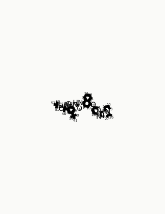 COc1c(NC(=O)N[C@H]2CC[C@@H](Oc3ccc4nnc([C@@H]5CCCN5C(C)C)n4c3)c3ccccc32)cc(C(C)(C)C)cc1C(C)(C)O[SiH2]C(C)(C)C